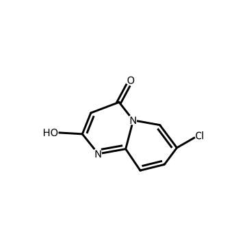 O=c1cc(O)nc2ccc(Cl)cn12